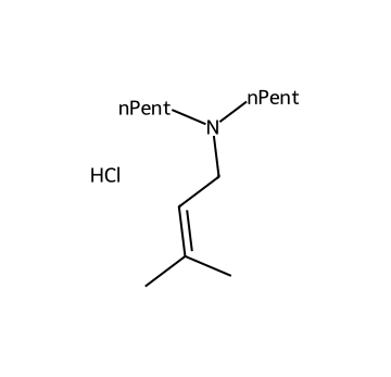 CCCCCN(CC=C(C)C)CCCCC.Cl